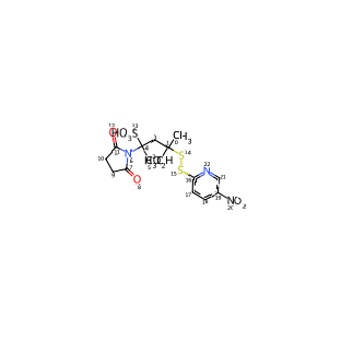 CC(C)(CC(C(=O)O)(N1C(=O)CCC1=O)S(=O)(=O)O)SSc1ccc([N+](=O)[O-])cn1